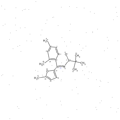 Cc1cnc(/C(=N\[S+]([O-])C(C)(C)C)c2ccc(C)o2)c(C)c1